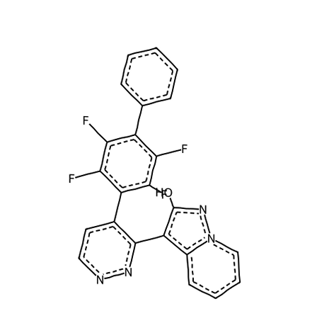 Oc1nn2ccccc2c1-c1nnccc1-c1c(F)c(F)c(-c2ccccc2)c(F)c1F